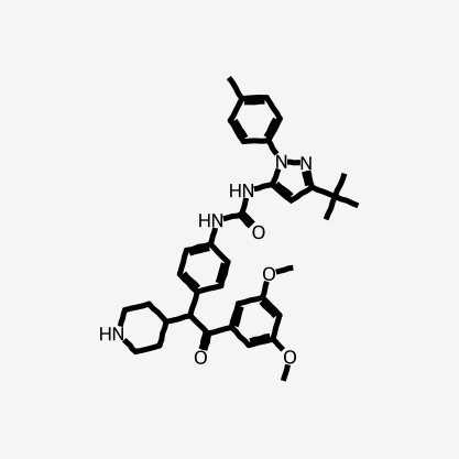 COc1cc(OC)cc(C(=O)C(c2ccc(NC(=O)Nc3cc(C(C)(C)C)nn3-c3ccc(C)cc3)cc2)C2CCNCC2)c1